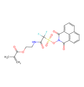 C=C(C)C(=O)OCCNC(=O)C(F)(F)S(=O)(=O)ON1C(=O)c2cccc3cccc(c23)C1=O